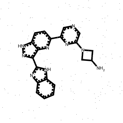 NC1CN(c2cncc(-c3ccc4[nH]nc(-c5nc6ccccc6[nH]5)c4n3)n2)C1